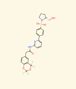 O=C(Cc1ccc2c(c1)C(F)(F)OC(F)(F)O2)Nc1cccc(-c2ccc(S(=O)(=O)N3CCC[C@@H]3CO)cc2)n1